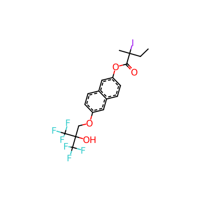 CCC(C)(I)C(=O)Oc1ccc2cc(OCC(O)(C(F)(F)F)C(F)(F)F)ccc2c1